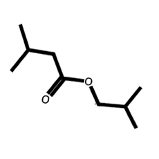 CC(C)[CH]OC(=O)CC(C)C